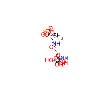 B[C@@H]1O[C@H](COC)[C@H](OP(O)(=S)OC)C1CCCNC(=O)CCCCO[C@@H]1O[C@H](CO)[C@H](O)[C@H](O)[C@H]1NC(C)=O